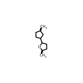 C=C1CCC(C2CCC(=C)O2)C1